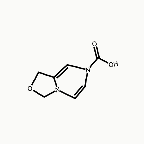 O=C(O)N1C=CN2COCC2=C1